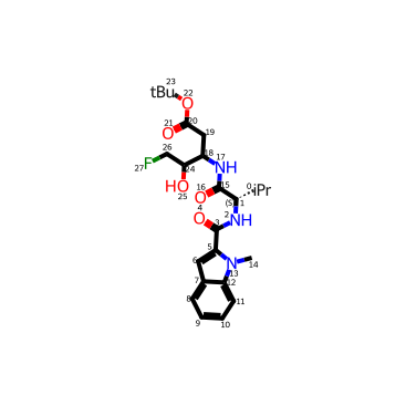 CC(C)[C@H](NC(=O)c1cc2ccccc2n1C)C(=O)NC(CC(=O)OC(C)(C)C)C(O)CF